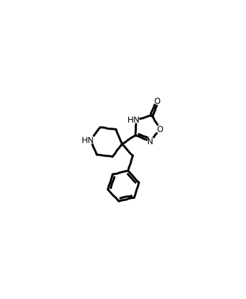 O=c1[nH]c(C2(Cc3ccccc3)CCNCC2)no1